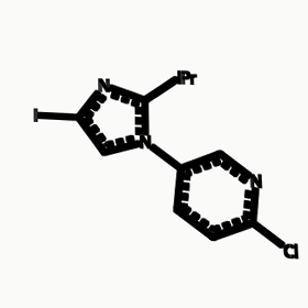 CC(C)c1nc(I)cn1-c1ccc(Cl)nc1